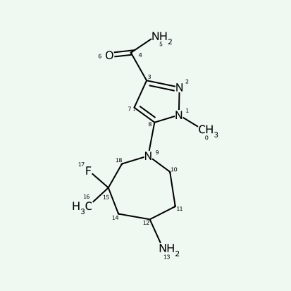 Cn1nc(C(N)=O)[c]c1N1CCC(N)CC(C)(F)C1